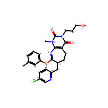 Cc1cccc(OC2=Nc3c(c(=O)n(CCCO)c(=O)n3C)CCC2Cc2ccc(Cl)cn2)c1